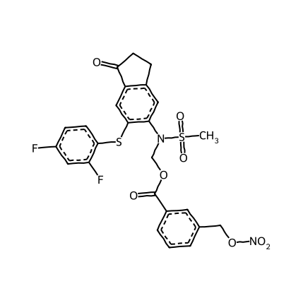 CS(=O)(=O)N(COC(=O)c1cccc(CO[N+](=O)[O-])c1)c1cc2c(cc1Sc1ccc(F)cc1F)C(=O)CC2